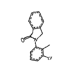 Cc1c(Cl)cccc1N1Cc2ccccc2C1=O